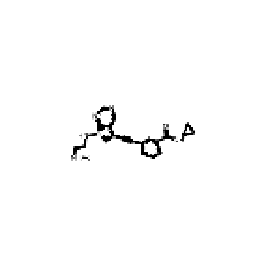 CC(=O)NCCNn1cc(C#Cc2cccc(C(=O)NC3CC3)c2)c2cncnc21